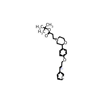 CC(C)(C)OC(=O)CCN1CCOC(c2ccc(OC/C=C/c3ccccc3)cc2)C1